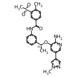 Cc1ccc(C(=O)Nc2cccc([C@H](C)Oc3cc(-c4cnn(C)c4)cnc3N)c2)cc1S(C)(=O)=O